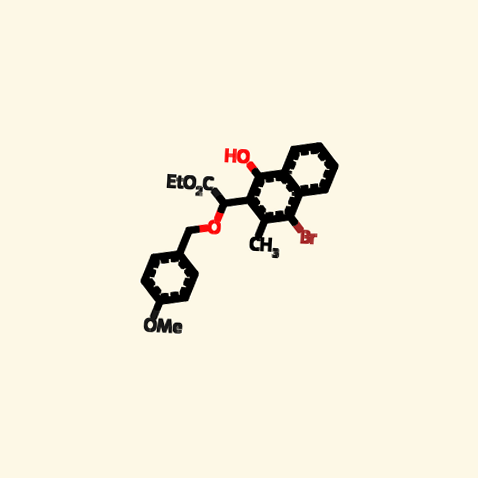 CCOC(=O)C(OCc1ccc(OC)cc1)c1c(C)c(Br)c2ccccc2c1O